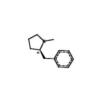 CN1CCC[C@@H]1Cc1ccccc1